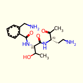 CC(=O)[C@H](CCN)NC(=O)[C@@H](NC(=O)c1ccccc1CN)C(C)O